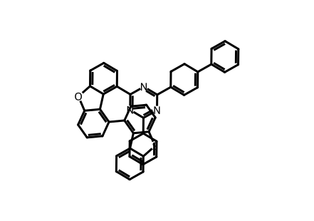 C1=CCC(c2nc(C3=CC=C(c4ccccc4)CC3)nc(-c3cccc4oc5cccc(-c6cccc7sc8ccccc8c67)c5c34)n2)C=C1